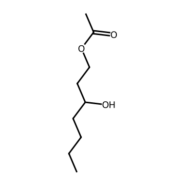 CCCCC(O)CCOC(C)=O